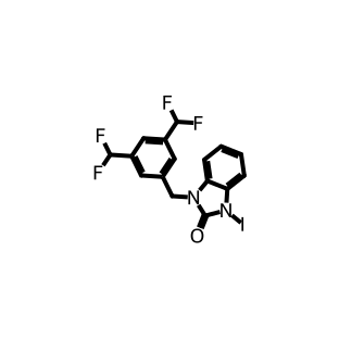 O=c1n(I)c2ccccc2n1Cc1cc(C(F)F)cc(C(F)F)c1